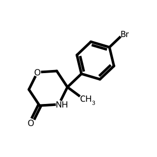 CC1(c2ccc(Br)cc2)COCC(=O)N1